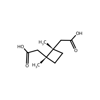 C[C@@]1(CC(=O)O)CC[C@]1(C)CC(=O)O